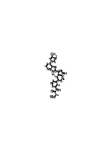 Cc1cn(-c2ccnc3[nH]c(-c4n[nH]c5ncc(-c6cncc(NC(=O)CC(C)(C)C)c6)cc45)nc23)cn1